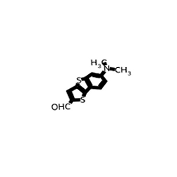 CN(C)c1ccc2c(c1)sc1cc(C=O)sc12